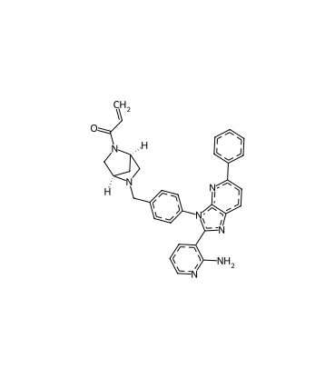 C=CC(=O)N1C[C@H]2C[C@@H]1CN2Cc1ccc(-n2c(-c3cccnc3N)nc3ccc(-c4ccccc4)nc32)cc1